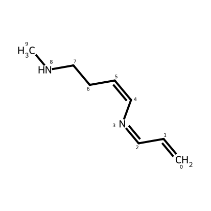 C=C/C=N\C=C/CCNC